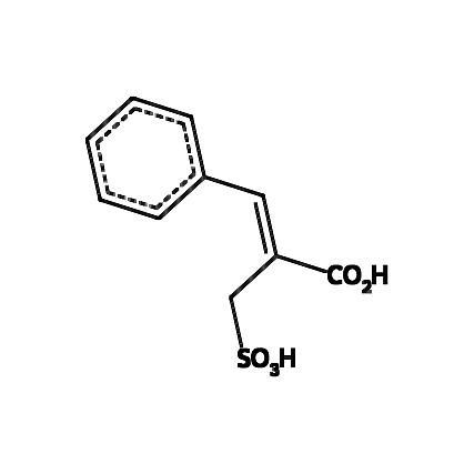 O=C(O)C(=Cc1ccccc1)CS(=O)(=O)O